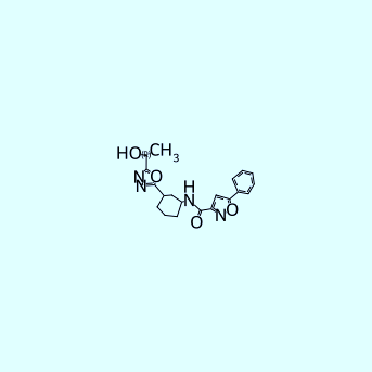 C[C@@H](O)c1nnc(C2CCCC(NC(=O)c3cc(-c4ccccc4)on3)C2)o1